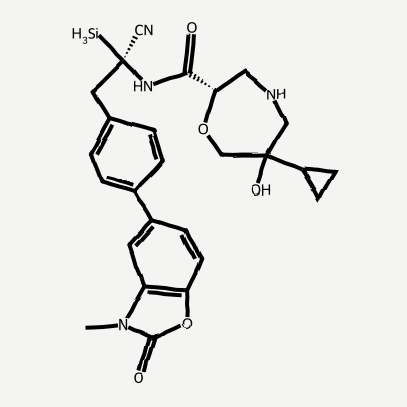 Cn1c(=O)oc2ccc(-c3ccc(C[C@]([SiH3])(C#N)NC(=O)[C@@H]4CNCC(O)(C5CC5)CO4)cc3)cc21